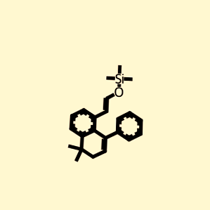 CC1(C)CC=C(c2ccccc2)c2c(C=CO[Si](C)(C)C)cccc21